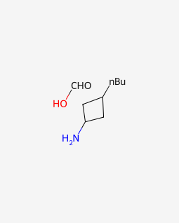 CCCCC1CC(N)C1.O=CO